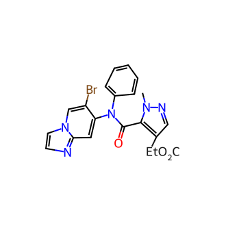 CCOC(=O)c1cnn(C)c1C(=O)N(c1ccccc1)c1cc2nccn2cc1Br